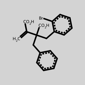 C=C(C(=O)O)C(Cc1ccccc1)(Cc1ccccc1Br)C(=O)O